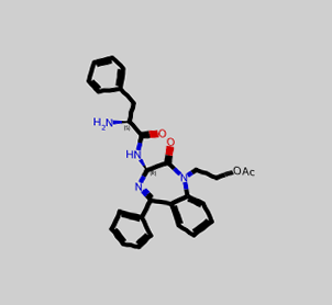 CC(=O)OCCN1C(=O)[C@H](NC(=O)[C@@H](N)Cc2ccccc2)N=C(c2ccccc2)c2ccccc21